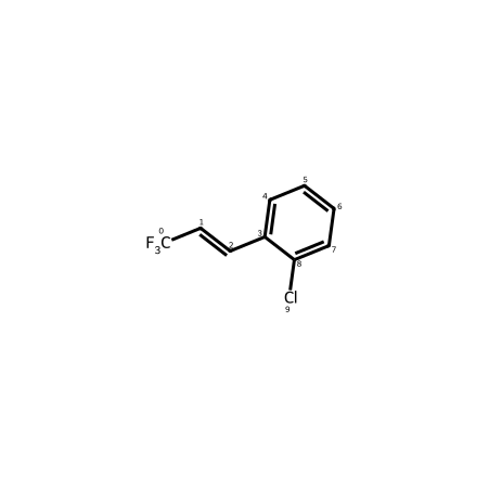 FC(F)(F)C=Cc1ccccc1Cl